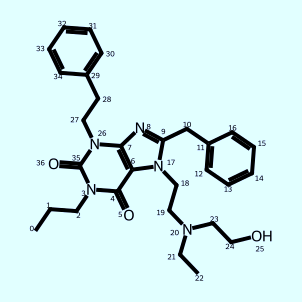 CCCn1c(=O)c2c(nc(Cc3ccccc3)n2CCN(CC)CCO)n(CCc2ccccc2)c1=O